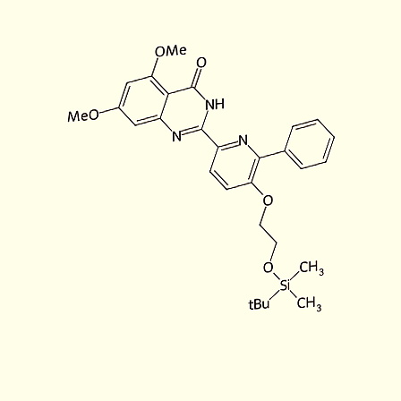 COc1cc(OC)c2c(=O)[nH]c(-c3ccc(OCCO[Si](C)(C)C(C)(C)C)c(-c4ccccc4)n3)nc2c1